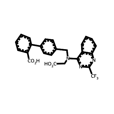 O=C(O)CN(Cc1ccc(-c2ccccc2C(=O)O)cc1)c1nc(C(F)(F)F)nc2ccccc12